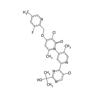 Cc1cnc(COc2cc(C)n(-c3cc(-c4nc(C(C)(C)O)ncc4Cl)ncc3C)c(=O)c2Cl)c(F)c1